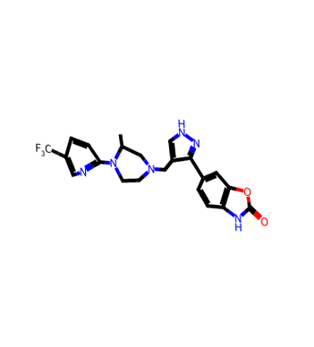 CC1CN(Cc2c[nH]nc2-c2ccc3[nH]c(=O)oc3c2)CCN1c1ccc(C(F)(F)F)cn1